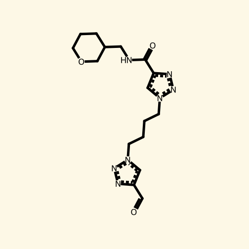 O=Cc1cn(CCCCn2cc(C(=O)NCC3CCCOC3)nn2)nn1